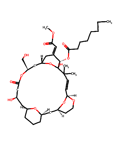 CCCCCCCC(=O)O[C@H]1/C(=C/C(=O)OC)C[C@H]2C[C@H](CO)OC(=O)C[C@H](O)C[C@@H]3CCC[C@H](C[C@@H]4CCO[C@H](/C=C/C(C)(C)[C@]1(O)O2)O4)O3